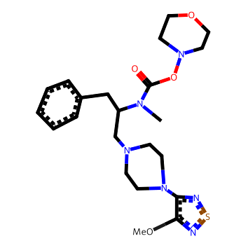 COc1nsnc1N1CCN(CC(Cc2ccccc2)N(C)C(=O)ON2CCOCC2)CC1